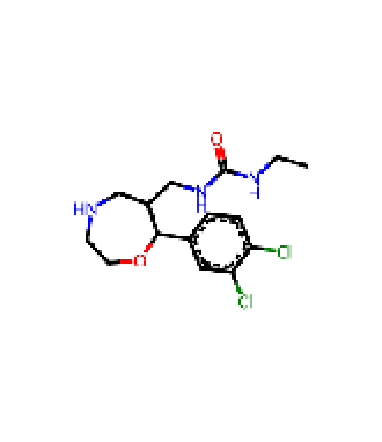 CCNC(=O)NCC1CNCCOC1c1ccc(Cl)c(Cl)c1